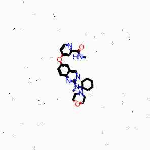 CNC(=O)c1cc(Oc2ccc3nc(N(C)C4(N5CCOCC5)CCCCC4)ncc3c2)ccn1